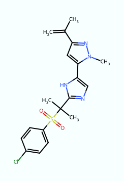 C=C(C)c1cc(-c2cnc(C(C)(C)S(=O)(=O)c3ccc(Cl)cc3)[nH]2)n(C)n1